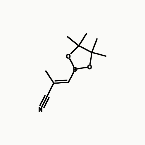 C/C(C#N)=C\B1OC(C)(C)C(C)(C)O1